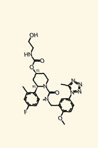 COc1ccc(-n2nnnc2C)cc1CN(C)C(=O)N1CC[C@H](OC(=O)NCCO)C[C@@H]1c1ccc(F)cc1C